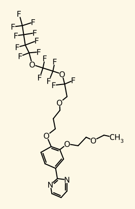 CCOCCOc1cc(-c2ncccn2)ccc1OCCCOCC(F)(F)OC(F)(F)C(F)(F)OC(F)(F)C(F)(F)C(F)(F)C(F)(F)F